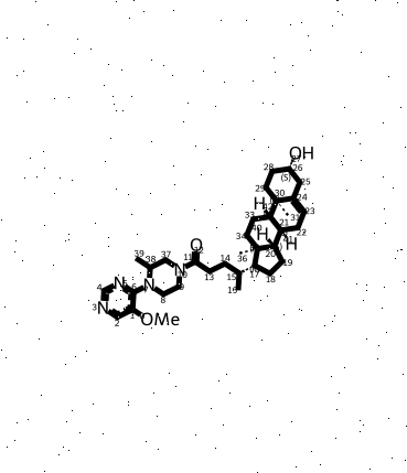 COc1cncnc1N1CCN(C(=O)CCC(C)[C@H]2CC[C@H]3[C@@H]4CC=C5C[C@@H](O)CC[C@]5(C)[C@H]4CC[C@]23C)CC1C